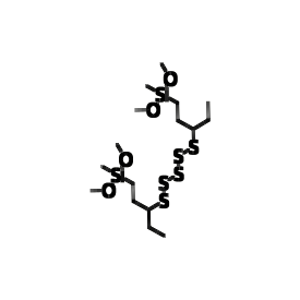 CCC(CC[Si](C)(OC)OC)SSSSSC(CC)CC[Si](C)(OC)OC